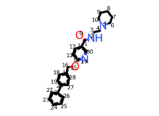 O=C(NCCN1CCCCC1)c1ccc(OCc2ccc(-c3ccccc3)cc2)nc1